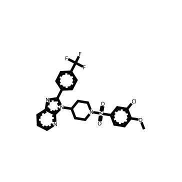 COc1ccc(S(=O)(=O)N2CCC(n3c(-c4ccc(C(F)(F)F)cc4)nc4cccnc43)CC2)cc1Cl